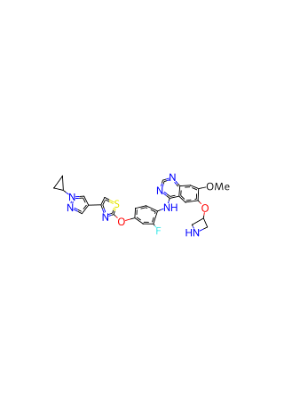 COc1cc2ncnc(Nc3ccc(Oc4nc(-c5cnn(C6CC6)c5)cs4)cc3F)c2cc1OC1CNC1